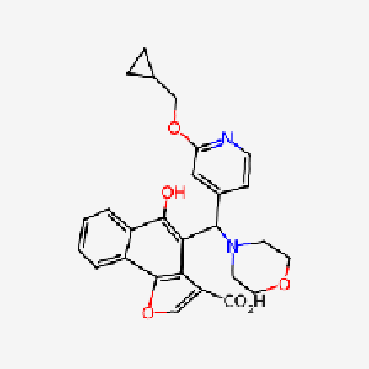 O=C(O)c1coc2c1c(C(c1ccnc(OCC3CC3)c1)N1CCOCC1)c(O)c1ccccc12